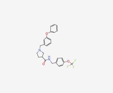 O=C(NCc1ccc(OC(F)(F)F)cc1)C1CCN(Cc2cccc(Oc3ccccc3)c2)C1